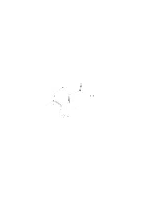 COC(=S)C1=C(C)C(OC)=C(C)CC1